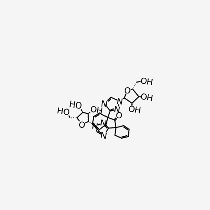 O=C(C1(c2ncn([C@@H]3O[C@H](CO)[C@@H](O)[C@H]3O)n2)C=CC=CC1)C1(c2ncn([C@@H]3O[C@H](CO)[C@@H](O)[C@H]3O)n2)C=CC=CC1